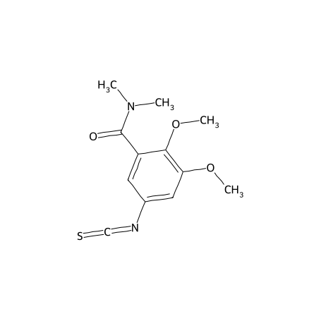 COc1cc(N=C=S)cc(C(=O)N(C)C)c1OC